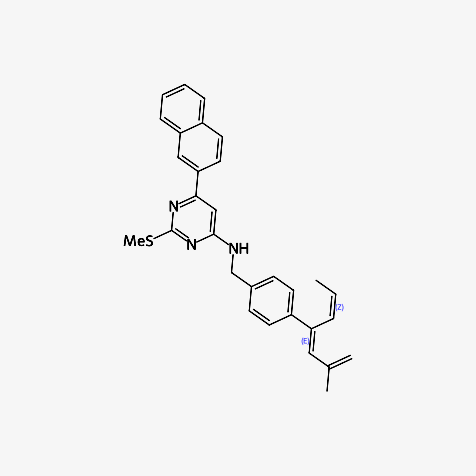 C=C(C)/C=C(\C=C/C)c1ccc(CNc2cc(-c3ccc4ccccc4c3)nc(SC)n2)cc1